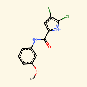 CC(C)Oc1cccc(NC(=O)c2cc(Cl)c(Cl)[nH]2)c1